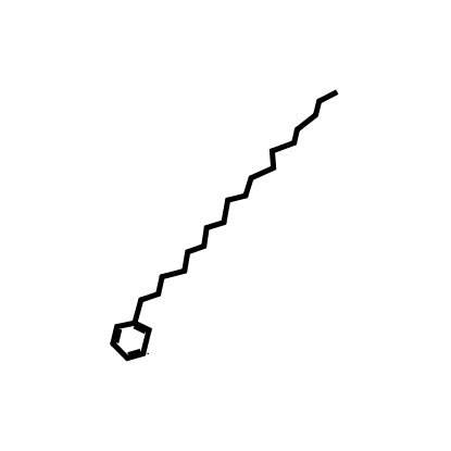 CCCCCCCCCCCCCCCCCCc1c[c]ccc1